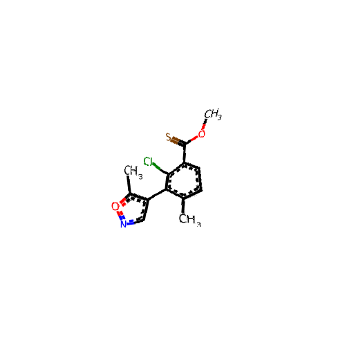 COC(=S)c1ccc(C)c(-c2cnoc2C)c1Cl